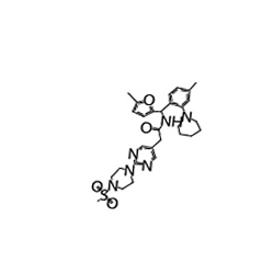 Cc1ccc(C(NC(=O)Cc2cnc(N3CCN(S(C)(=O)=O)CC3)nc2)c2ccc(C)o2)c(N2CCCCC2)c1